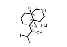 C[C@@H]1NCC[C@H]2[C@H]([C@H](O)C(F)F)CCC[C@@H]21.Cl